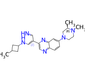 CC1CC(N/C=C(\C=N)c2cnc3ccc(N4CCN(C)[C@H](C)C4)cc3n2)C1